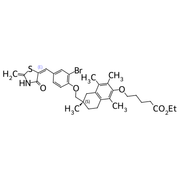 C=c1[nH]c(=O)/c(=C\c2ccc(OC[C@@]3(C)CCc4c(C)c(OCCCCC(=O)OCC)c(C)c(C)c4C3)c(Br)c2)s1